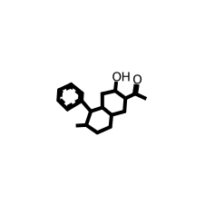 CC(=O)C1CC2CCC(C)C(c3ccccc3)C2CC1O